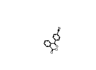 N#Cc1ccc(C(=O)c2ccccc2C(=O)Cl)cc1